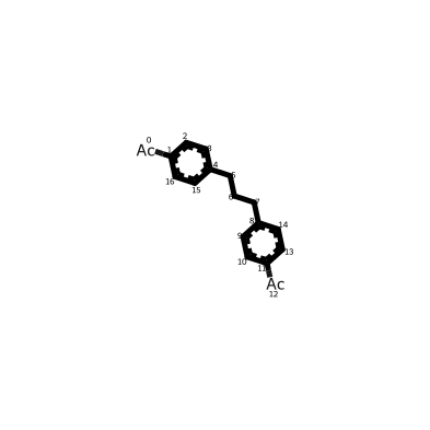 CC(=O)c1ccc(CCCc2ccc(C(C)=O)cc2)cc1